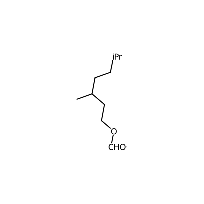 CC(C)CCC(C)CCO[C]=O